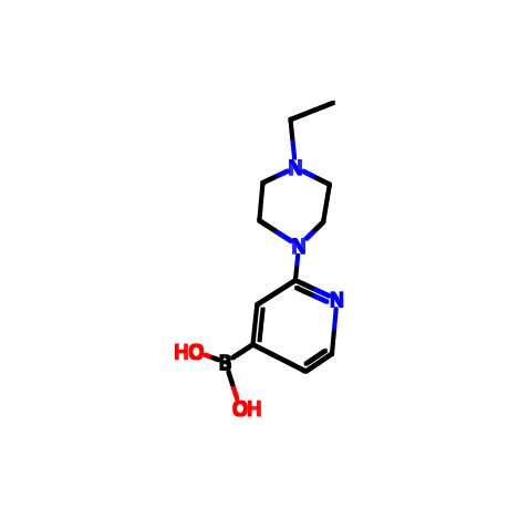 CCN1CCN(c2cc(B(O)O)ccn2)CC1